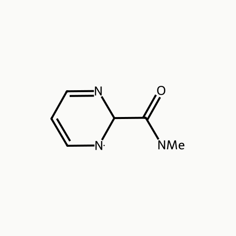 CNC(=O)C1[N]C=CC=N1